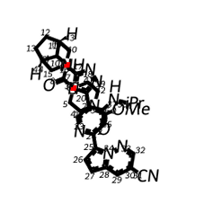 COC(=O)N1CCN(C(=O)NC2[C@@H]3CC[C@H]2CN(c2nnc(-c4cnc(-c5ccc6cc(C#N)cnn56)cc4NC(C)C)s2)C3)CC1